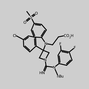 CCCCN(C(=N)N1CC(c2ccc(Cl)cc2)(N(CCC(=O)O)c2ccc(S(C)(=O)=O)cc2)C1)c1ccc(F)c(F)c1